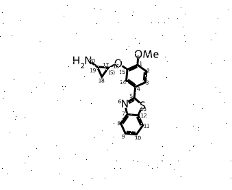 COc1ccc(-c2nc3ccccc3s2)cc1O[C@H]1CC1N